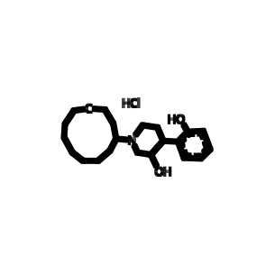 Cl.Oc1ccccc1C1CCN(C2CCCCCCCCCC2)CC1O